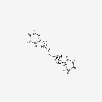 c1ccc(OPCCPOc2ccccc2)cc1